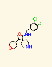 CC(C1CCOCC1)C1(C(=O)NCc2ccc(Cl)c(Cl)c2)CCNCC1